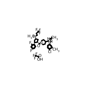 Cc1nc(C2CCN(C(=O)[C@@H]3C[C@@H](N(C)CCC(F)(F)F)C[C@H]3c3ccc(F)cc3F)CC2)n(-c2ccc(Cl)c(C)c2)n1.O=C(O)C(F)(F)F